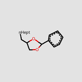 CCCCCCCCC1COC(c2ccccc2)O1